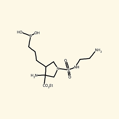 CCOC(=O)C1(N)CN(S(=O)(=O)NCCN)CC1CCCB(O)O